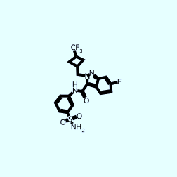 NS(=O)(=O)c1cccc(NC(=O)c2c3ccc(F)cc3nn2CC2CC(C(F)(F)F)C2)c1